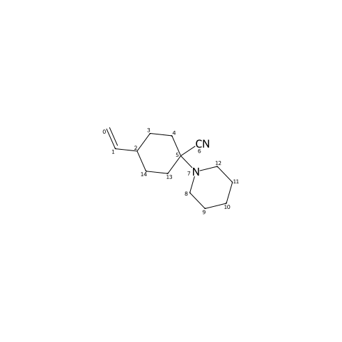 C=CC1CCC(C#N)(N2CCCCC2)CC1